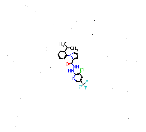 CC(C)c1ccccc1-n1cccc1C(=O)NNc1ncc(C(F)(F)F)cc1Cl